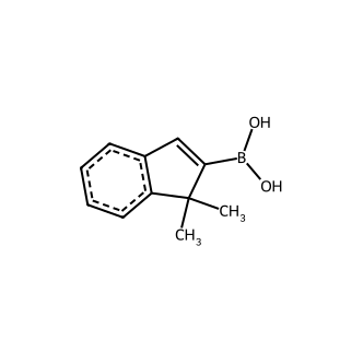 CC1(C)C(B(O)O)=Cc2ccccc21